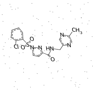 Cc1cnc(CNC(=O)c2ccn(S(=O)(=O)c3ccccc3Cl)n2)cn1